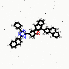 c1ccc(-c2nc(-c3ccc4ccccc4c3)nc(-c3ccc4oc5c(-c6ccc7c(ccc8ccccc87)c6)c6ccccc6cc5c4c3)n2)cc1